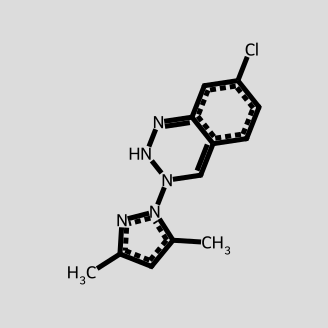 Cc1cc(C)n(N2C=c3ccc(Cl)cc3=NN2)n1